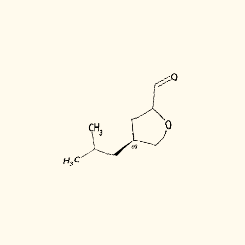 CC(C)C[C@@H]1COC(C=O)C1